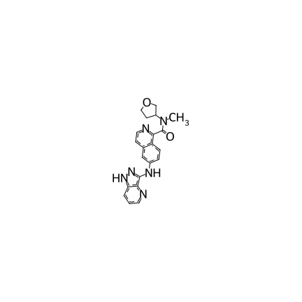 CN(C(=O)c1nccc2cc(Nc3n[nH]c4cccnc34)ccc12)C1CCOC1